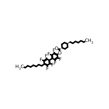 CCCCCCCCc1c(F)c(F)c(-c2c(F)c(F)c(OC(=O)[C@H]3CC[C@H](CCCCCCC)CC3)c(F)c2F)c(F)c1F